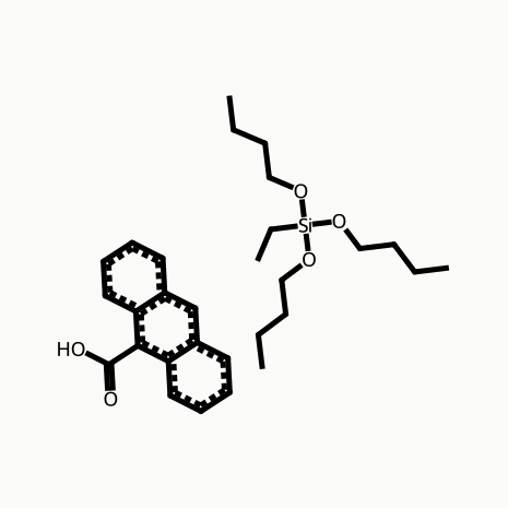 CCCCO[Si](CC)(OCCCC)OCCCC.O=C(O)c1c2ccccc2cc2ccccc12